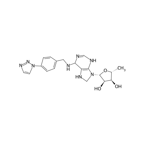 C[C@H]1O[C@@H](N2CNC3=C2NC=NC3NCc2ccc(-n3ccnn3)cc2)[C@H](O)[C@@H]1O